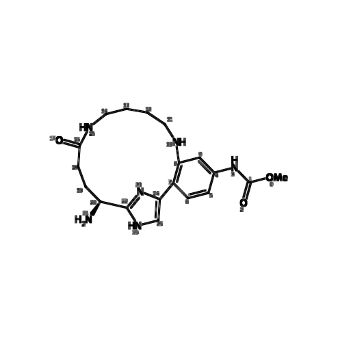 COC(=O)Nc1ccc2c(c1)NCCCCNC(=O)CC[C@H](N)c1nc-2c[nH]1